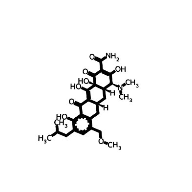 COCc1cc(CC(C)C)c(O)c2c1C[C@H]1C[C@H]3[C@H](N(C)C)C(O)=C(C(N)=O)C(=O)[C@@]3(O)C(O)=C1C2=O